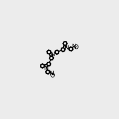 O=Nc1cccc(-n2c3ccccc3c3cc(-c4ccc(-n5c6ccccc6c6cc(-c7ccc8c(c7)c7ccccc7n8-c7cccc(N=O)c7)ccc65)cc4)ccc32)c1